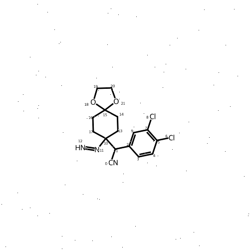 N#CC(c1ccc(Cl)c(Cl)c1)C1(N=N)CCC2(CC1)OCCO2